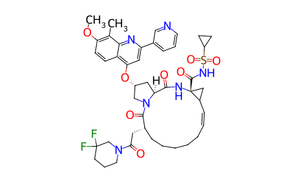 COc1ccc2c(O[C@@H]3C[C@H]4C(=O)N[C@]5(C(=O)NS(=O)(=O)C6CC6)CC5/C=C\CCCCC[C@H](CC(=O)N5CCCC(F)(F)C5)C(=O)N4C3)cc(-c3cccnc3)nc2c1C